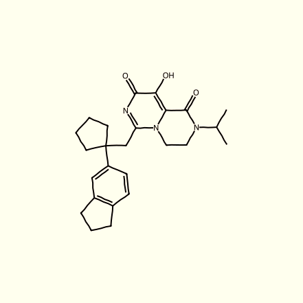 CC(C)N1CCn2c(CC3(c4ccc5c(c4)CCC5)CCCC3)nc(=O)c(O)c2C1=O